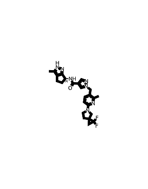 Cc1nc(N2CCC3(C2)CC3(F)F)ccc1Cn1cc(C(=O)N[C@@H]2CCc3c2n[nH]c3C)cn1